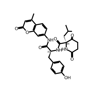 Cc1cc(=O)oc2cc(NC(=O)[C@H](Cc3ccc(O)cc3)NC(=O)[C@]3(CC(C)C)NC(=O)CCC3=O)ccc12